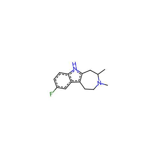 CC1Cc2[nH]c3ccc(F)cc3c2CCN1C